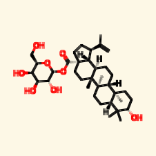 C=C(C)[C@@H]1CC[C@]2(C(=O)O[C@@H]3O[C@H](CO)[C@H](O)[C@H](O)[C@H]3O)CC[C@]3(C)[C@H](CC[C@@H]4[C@@]5(C)CC[C@H](O)C(C)(C)[C@@H]5CC[C@]43C)[C@@H]12